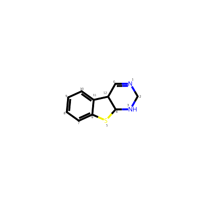 C1=NCNC2Sc3ccccc3C12